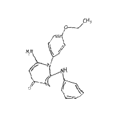 CCOc1ccc(-n2c(N)cc(=O)nc2Nc2ccccc2)cc1